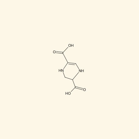 O=C(O)C1=CNC(C(=O)O)CN1